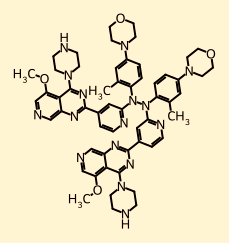 COc1cncc2nc(-c3ccnc(N(c4ccc(N5CCOCC5)cc4C)N(c4cc(-c5nc(N6CCNCC6)c6c(OC)cncc6n5)ccn4)c4ccc(N5CCOCC5)cc4C)c3)nc(N3CCNCC3)c12